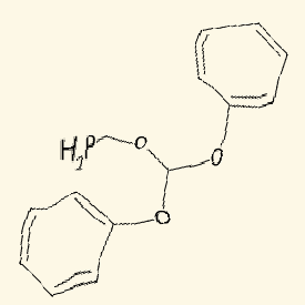 POC(Oc1ccccc1)Oc1ccccc1